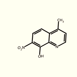 Cc1ccnc2c(O)c([N+](=O)[O-])ccc12